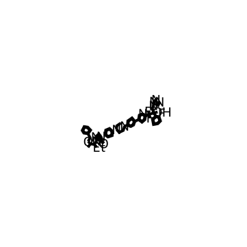 CCC(C(C)OCc1ccccc1)n1ncn(-c2ccc(N3CCN(c4ccc(-c5ccc(C(F)(F)C(O)(Cn6cnnn6)c6ccccc6F)nc5)cc4)CC3)cc2)c1=O